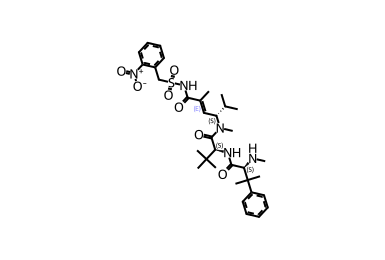 CN[C@H](C(=O)N[C@H](C(=O)N(C)[C@H](/C=C(\C)C(=O)NS(=O)(=O)Cc1ccccc1[N+](=O)[O-])C(C)C)C(C)(C)C)C(C)(C)c1ccccc1